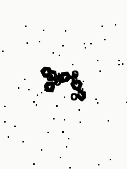 O=C(c1ccc(N(Cc2ccccc2)S(=O)(=O)c2ccccc2)cc1)N1CCC(N2CCCC2=O)CC1